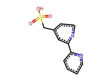 O=S(=O)(O)Cc1ccnc(-c2ccccn2)c1